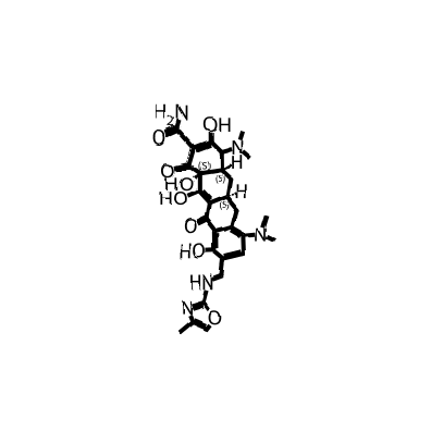 Cc1coc(NCc2cc(N(C)C)c3c(c2O)C(=O)C2=C(O)[C@]4(O)C(=O)C(C(N)=O)=C(O)C(N(C)C)[C@@H]4C[C@H]2C3)n1